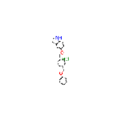 Cl.c1ccc(OCc2ccc(COc3ccc4c(c3)CCN4)cc2)cc1